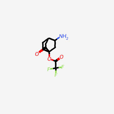 NC1CC2(OC(=O)C(F)(F)F)CCC1CC2=O